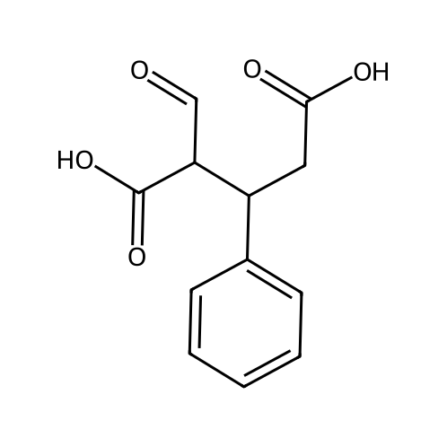 O=CC(C(=O)O)C(CC(=O)O)c1ccccc1